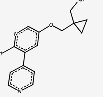 [NH]CC1(COc2cnc(Cl)c(-c3ccncc3)c2)CC1